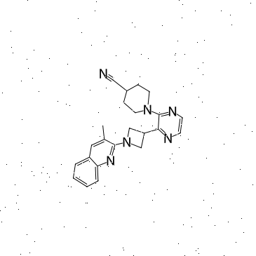 Cc1cc2ccccc2nc1N1CC(c2nccnc2N2CCC(C#N)CC2)C1